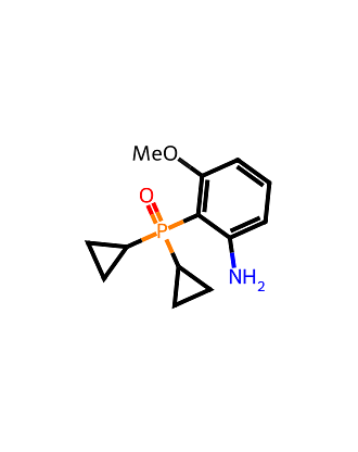 COc1cccc(N)c1P(=O)(C1CC1)C1CC1